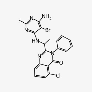 Cc1nc(N)c(Br)c(NC(C)c2nc3cccc(Cl)c3c(=O)n2-c2ccccc2)n1